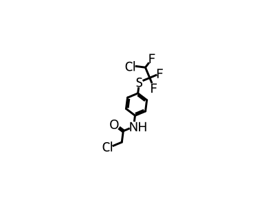 O=C(CCl)Nc1ccc(SC(F)(F)C(F)Cl)cc1